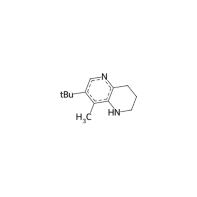 Cc1c(C(C)(C)C)cnc2c1NCCC2